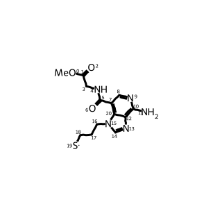 COC(=O)CNC(=O)c1cnc(N)c2ncn(CCC[S])c12